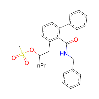 CCCC(Cc1cccc(-c2ccccc2)c1C(=O)NCc1ccccc1)OS(C)(=O)=O